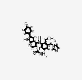 CCc1c(Cn2ccnc2)cccc1Nc1c(OC(N)=O)cnc2[nH]c(-c3ccc(F)cc3)cc12